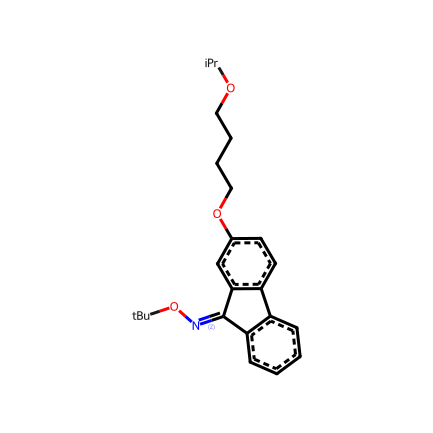 CC(C)OCCCCOc1ccc2c(c1)/C(=N\OC(C)(C)C)c1ccccc1-2